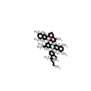 CCCCC(C)(C)c1ccc(N2c3cc4c(cc3B3c5cc(C)ccc5N(c5cc6c(cc5-c5ccccc5)C(C)(C)CCC6(C)C)c5cc(C(C)(C)C)cc2c53)C(C)(C)CCC4(C)C)cc1CC